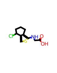 O=C(O)CNc1scc2c1CCCC2Cl